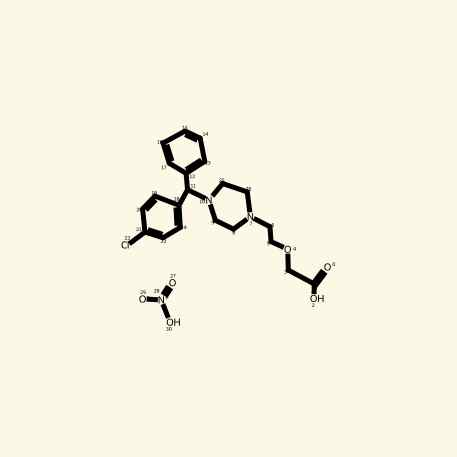 O=C(O)COCCN1CCN(C(c2ccccc2)c2ccc(Cl)cc2)CC1.O=[N+]([O-])O